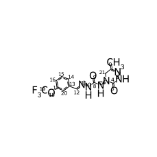 CC1=NNC(=O)N(NC(=O)N/N=C/c2cccc(OC(F)(F)F)c2)C1